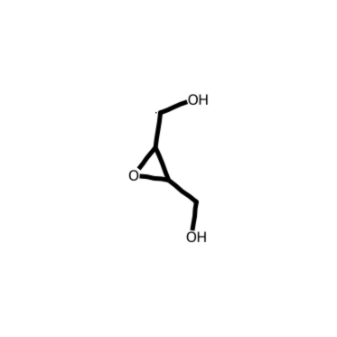 O[CH]C1OC1CO